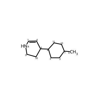 CC1CCC(C2C=CNCC2)CC1